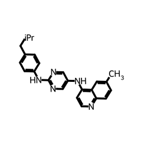 Cc1ccc2nccc(Nc3cnc(Nc4ccc(CC(C)C)cc4)nc3)c2c1